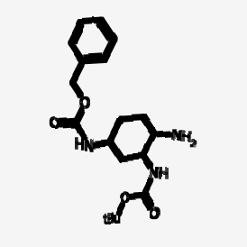 CC(C)(C)OC(=O)NC1CC(NC(=O)OCc2ccccc2)CCC1N